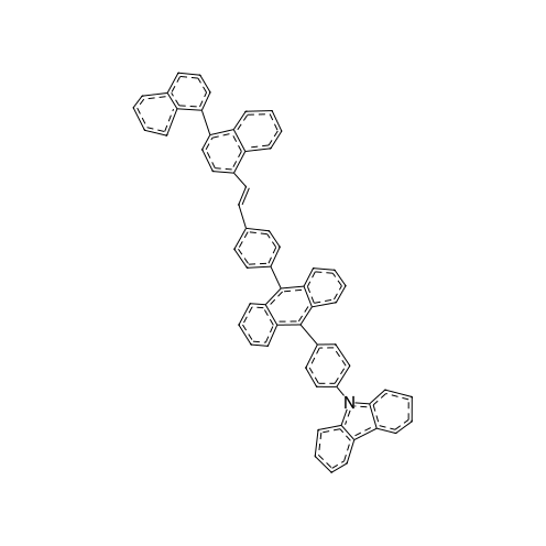 C(=C\c1ccc(-c2cccc3ccccc23)c2ccccc12)/c1ccc(-c2c3ccccc3c(-c3ccc(-n4c5ccccc5c5ccccc54)cc3)c3ccccc23)cc1